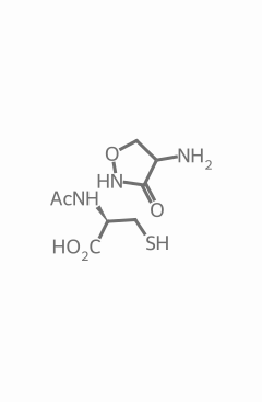 CC(=O)N[C@@H](CS)C(=O)O.NC1CONC1=O